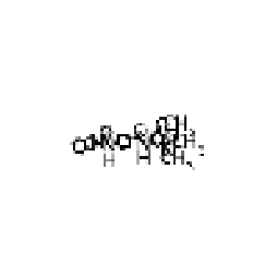 COc1cc(NC(=O)c2ccc(NC(=O)N3Cc4ccccc4C3)cc2)cc(OC)c1OC